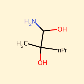 CCCC(C)(O)C(N)O